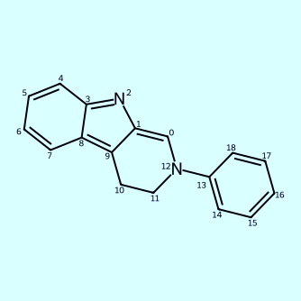 C1=C2N=c3ccccc3=C2CCN1c1ccccc1